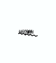 CCCCCCCCCCCC.O=S(=O)(O)O.O=S(=O)(O)O.[NaH]